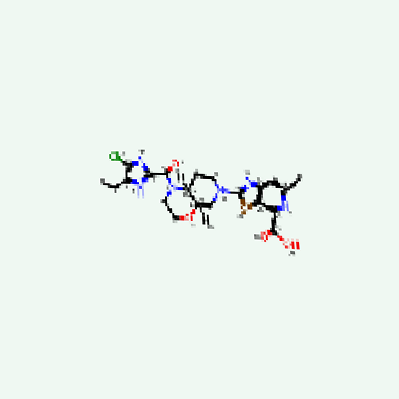 CCc1[nH]c(C(=O)N2CCO[C@H]3CN(c4nc5cc(C)nc(C(=O)O)c5s4)CC[C@H]32)nc1Cl